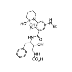 CCNc1cc(C(=O)N[C@@H](Cc2ccccc2)[C@H](O)CNC(=O)O)c(F)c(N2CCCCS2(O)O)c1